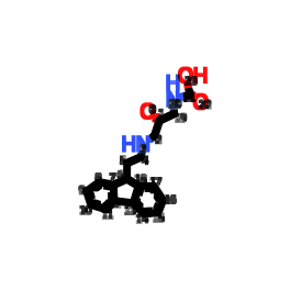 O=C(CNCCC1c2ccccc2-c2ccccc21)CNC(=O)O